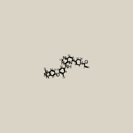 C=CC(=O)N1CC=C(c2ccc3ncnc(Nc4ccc(Oc5ccc6c(c5)nnn6C)c(C)c4)c3n2)CC1